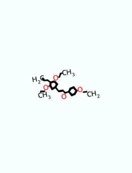 C=CCOc1ccc(C(=O)C=Cc2cc(OCCC)c(CC=C)c(OCCC)c2)cc1